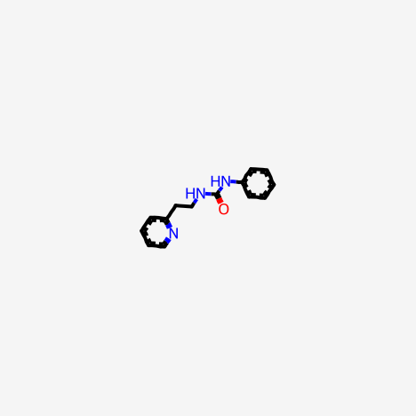 O=C(NCCc1ccccn1)Nc1ccccc1